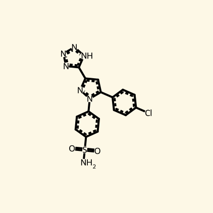 NS(=O)(=O)c1ccc(-n2nc(-c3nnn[nH]3)cc2-c2ccc(Cl)cc2)cc1